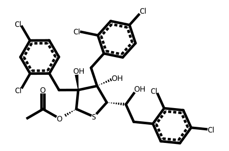 CC(=O)O[C@H]1S[C@@H](C(O)Cc2ccc(Cl)cc2Cl)[C@](O)(Cc2ccc(Cl)cc2Cl)[C@@]1(O)Cc1ccc(Cl)cc1Cl